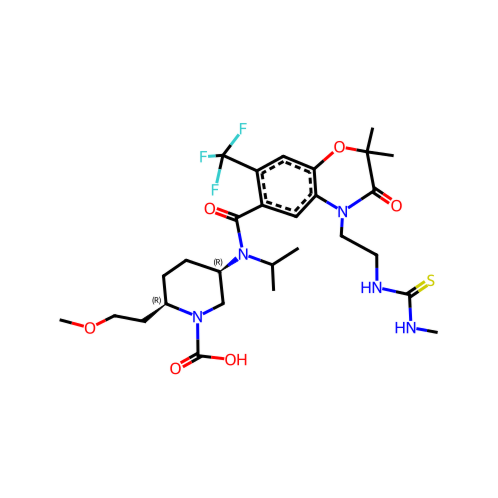 CNC(=S)NCCN1C(=O)C(C)(C)Oc2cc(C(F)(F)F)c(C(=O)N(C(C)C)[C@@H]3CC[C@H](CCOC)N(C(=O)O)C3)cc21